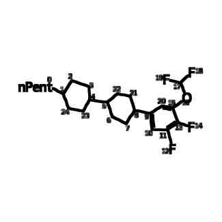 CCCCCC1CCC(C2CCC(c3cc(F)c(F)c(OC(F)F)c3)CC2)CC1